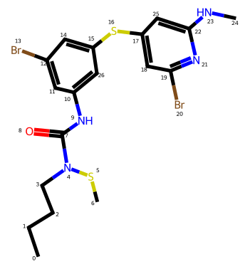 CCCCN(SC)C(=O)Nc1cc(Br)cc(Sc2cc(Br)nc(NC)c2)c1